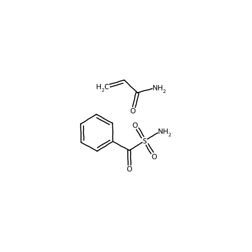 C=CC(N)=O.NS(=O)(=O)C(=O)c1ccccc1